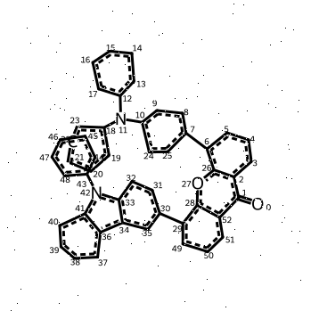 O=c1c2cccc(-c3ccc(N(c4ccccc4)c4ccccc4)cc3)c2oc2c(-c3ccc4c(c3)c3ccccc3n4-c3ccccc3)cccc12